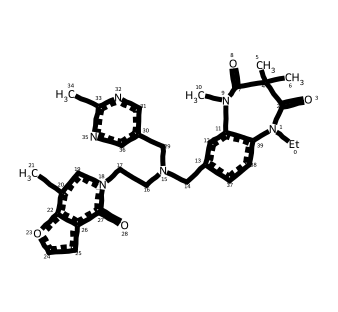 CCN1C(=O)C(C)(C)C(=O)N(C)c2cc(CN(CCn3cc(C)c4occc4c3=O)Cc3cnc(C)nc3)ccc21